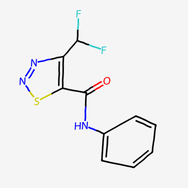 O=C(Nc1ccccc1)c1snnc1C(F)F